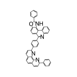 c1ccc(-c2ccc3ccc4ccc(-c5ccc(-c6nc7ccccc7c7c8c(ccc67)OC(c6ccccc6)N8)cc5)nc4c3n2)cc1